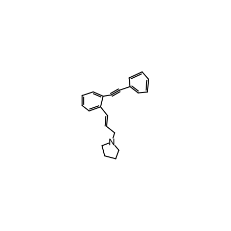 C(#Cc1ccccc1C=CCN1CCCC1)c1ccccc1